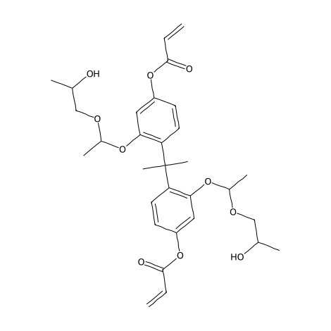 C=CC(=O)Oc1ccc(C(C)(C)c2ccc(OC(=O)C=C)cc2OC(C)OCC(C)O)c(OC(C)OCC(C)O)c1